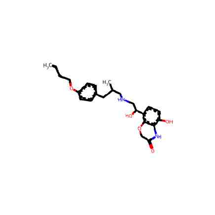 CCCCOc1ccc(CC(C)CNCC(O)c2ccc(O)c3c2OCC(=O)N3)cc1